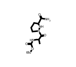 CC(NC(=O)OC(C)(C)C)C(=O)N1CCCC(C(N)=O)N1